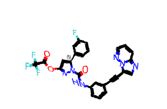 O=C(Nc1cccc(C#Cc2cnc3cccnn23)c1)N1N=C(OC(=O)C(F)(F)F)C[C@H]1c1cccc(F)c1